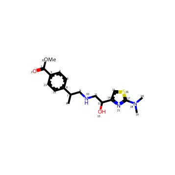 COC(=O)c1ccc(C(C)CNCC(O)c2csc(N(C)C)n2)cc1